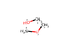 CO.CO[SiH3]